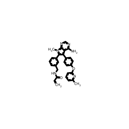 C=CC(=O)NCc1cccc(-c2c(-c3ccc(Oc4cccc(C)n4)cc3)c3c(N)ncnc3n2C)c1